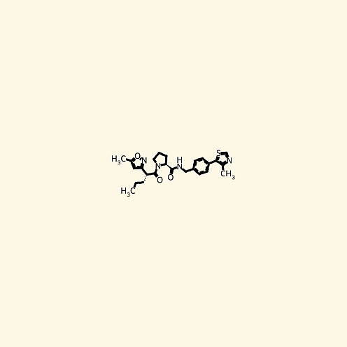 CCC[C@@H](C(=O)N1CCC[C@H]1C(=O)NCc1ccc(-c2scnc2C)cc1)c1cc(C)on1